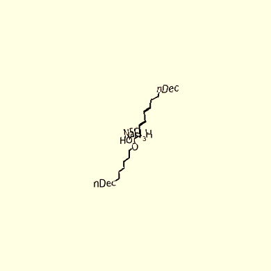 CCCCCCCCCCCCCCCCCCOCCCCCCCCCCCCCCCC.O=S(=O)(O)O.[NaH]